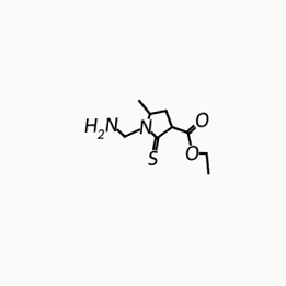 CCOC(=O)C1CC(C)N(CN)C1=S